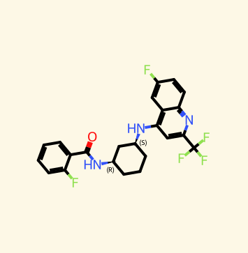 O=C(N[C@@H]1CCC[C@H](Nc2cc(C(F)(F)F)nc3ccc(F)cc23)C1)c1ccccc1F